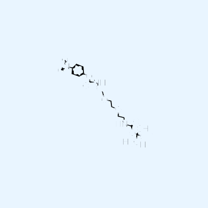 CC(C)(C)OC(=O)NCCOCCOCCNC(=O)Oc1ccc([N+](=O)[O-])cc1